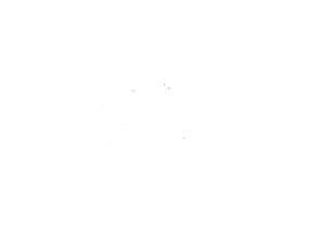 CN1CC(C)(C)CC(C)(C)C1